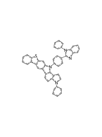 c1ccc(-n2ccc3c2ccc2c4cc5c(cc4n(-c4ccc(-c6nc7ccccc7n6-c6ccccc6)cc4)c23)sc2ccccc25)cc1